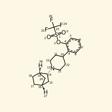 O=S(=O)(Oc1ccccc1C1CCN([C@@H]2C[C@@H]3CC[C@H]2C3)CC1)C(F)(F)F